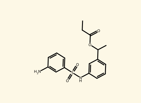 CCC(=O)OC(C)c1cccc(NS(=O)(=O)c2cccc(N)c2)c1